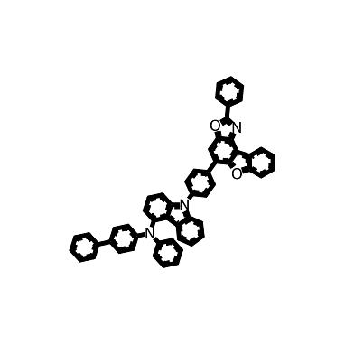 c1ccc(-c2ccc(N(c3ccccc3)c3cccc4c3c3ccccc3n4-c3ccc(-c4cc5oc(-c6ccccc6)nc5c5c4oc4ccccc45)cc3)cc2)cc1